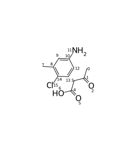 CC(=O)CC(=O)O.Cc1cc(N)ccc1Cl